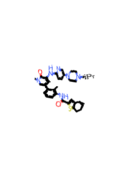 Cc1c(NC(=O)c2cc3c(s2)CCCC3)cccc1-c1cc(Nc2ccc(N3CCN(C(C)C)CC3)cn2)c(=O)n(C)c1